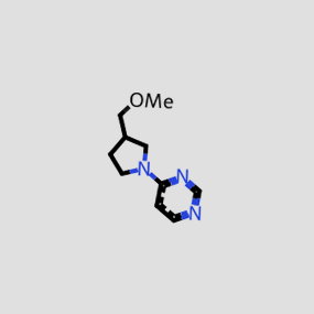 COCC1CCN(c2ccncn2)C1